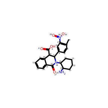 Cc1ccc(C2C(C(=O)O)c3ccccc3C(=O)N2C2CCCCC2N)cc1[N+](=O)[O-]